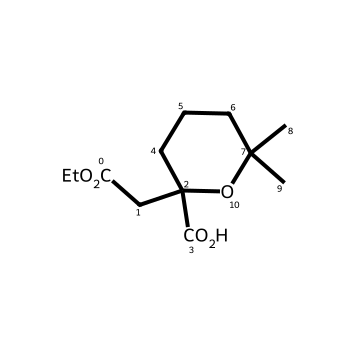 CCOC(=O)CC1(C(=O)O)CCCC(C)(C)O1